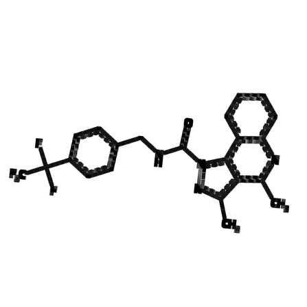 Cc1nc2ccccc2c2c1c(C)nn2C(=O)NCc1ccc(C(F)(F)C(F)(F)F)cc1